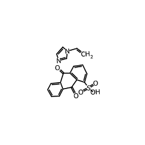 C=Cn1ccnc1.O=C1c2ccccc2C(=O)c2c1cccc2S(=O)(=O)O